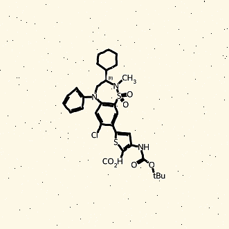 CN1[C@H](C2CCCCC2)CN(c2ccccc2)c2cc(Cl)c(-c3cc(NC(=O)OC(C)(C)C)c(C(=O)O)s3)cc2S1(=O)=O